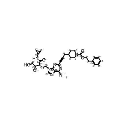 Nc1nc(C#CCC2CCN(C(=O)OCCc3ccccc3)CC2)nc2c1ncn2CO[C@H](C(=O)NC1CC1)C(O)CO